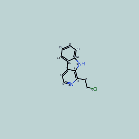 ClCCc1nccc2c1[nH]c1ccccc12